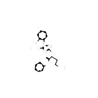 CCCC(Oc1nc(C)n(-c2ccc(Br)cc2Br)n1)C(=O)Oc1ccccc1